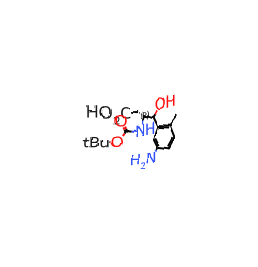 Cc1ccc(N)cc1C(O)[C@@H](CC(=O)O)NC(=O)OC(C)(C)C